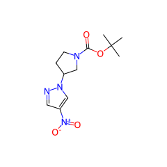 CC(C)(C)OC(=O)N1CCC(n2cc([N+](=O)[O-])cn2)C1